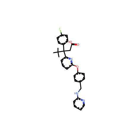 CC(C)(C)C(CC(=O)O)(c1ccc(F)cc1)c1cccc(Oc2ccc(CNc3ccccn3)cc2)n1